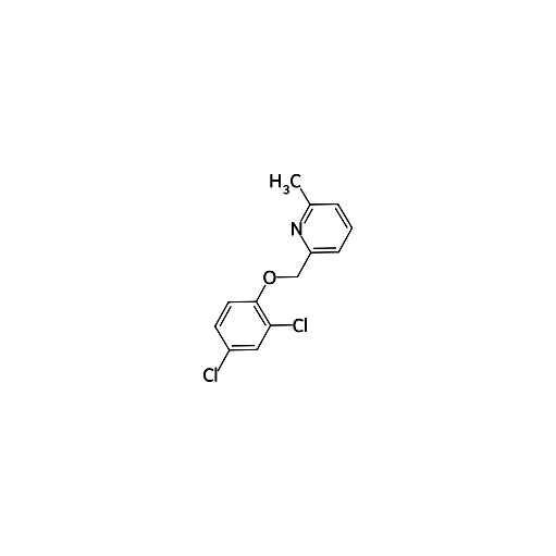 Cc1cccc(COc2ccc(Cl)cc2Cl)n1